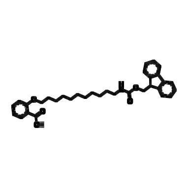 O=C(NCCCCCCCCCCCOc1ccccc1C(=O)O)OCC1c2ccccc2-c2ccccc21